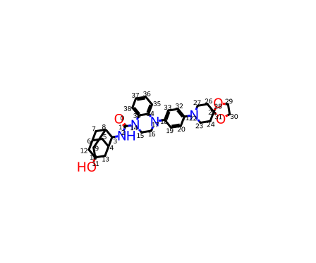 O=C(NC1C2CC3CC1CC(O)(C3)C2)N1CCN(c2ccc(N3CCC4(CC3)OCCO4)cc2)c2ccccc21